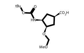 COCO[C@@H]1C[C@H](C(=O)O)C[C@@H]1NC(=O)OC(C)(C)C